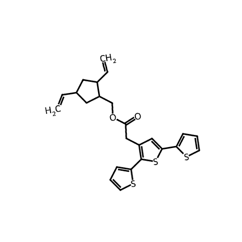 C=CC1CC(C=C)C(COC(=O)Cc2cc(-c3cccs3)sc2-c2cccs2)C1